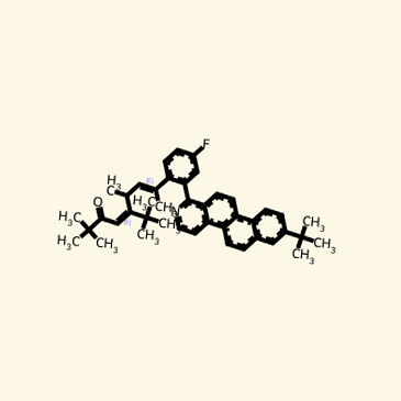 C/C(=C\C(C)/C(=C\C(=O)C(C)(C)C)C(C)(C)C)c1ccc(F)cc1-c1nccc2c1ccc1c3ccc(C(C)(C)C)cc3ccc21